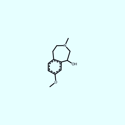 COc1ccc2c(c1)C(O)CN(C)CC2